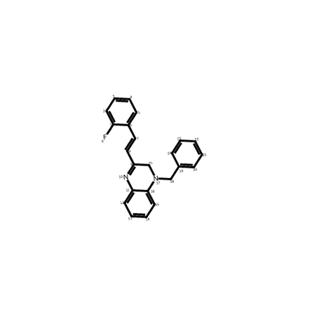 Fc1ccccc1C=CC1=Nc2ccccc2N(Cc2ccccc2)C1